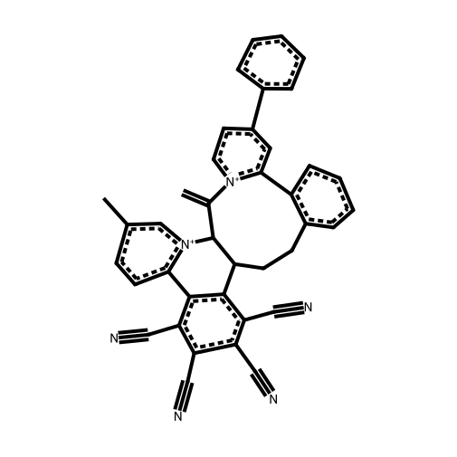 C=C1C2C(CCc3ccccc3-c3cc(-c4ccccc4)cc[n+]31)c1c(C#N)c(C#N)c(C#N)c(C#N)c1-c1ccc(C)c[n+]12